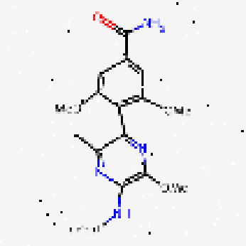 CCCCCNc1nc(C)c(-c2c(OC)cc(C(N)=O)cc2OC)nc1OC